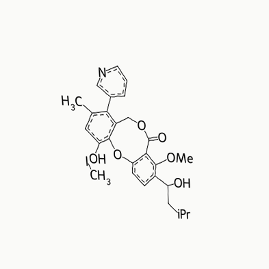 CI.COc1c(C(O)CC(C)C)ccc2c1C(=O)OCc1c(c(O)cc(C)c1-c1cccnc1)O2